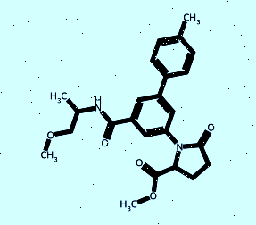 COCC(C)NC(=O)c1cc(-c2ccc(C)cc2)cc(N2C(=O)CCC2C(=O)OC)c1